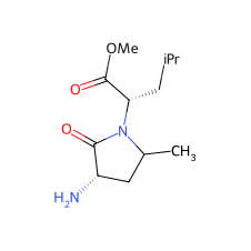 COC(=O)[C@H](CC(C)C)N1C(=O)[C@@H](N)CC1C